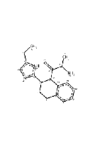 CCc1cnc(C2CCc3ccccc3N2C(=O)C(C)N)[nH]1